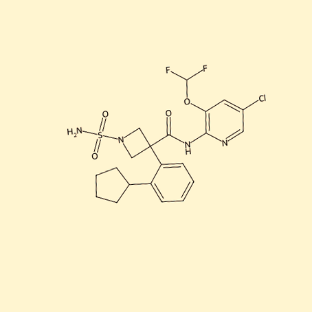 NS(=O)(=O)N1CC(C(=O)Nc2ncc(Cl)cc2OC(F)F)(c2ccccc2C2CCCC2)C1